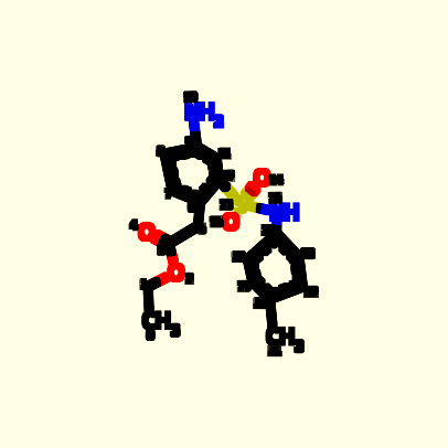 CCOC(=O)Cc1ccc(N)cc1S(=O)(=O)Nc1ccc(C)cc1